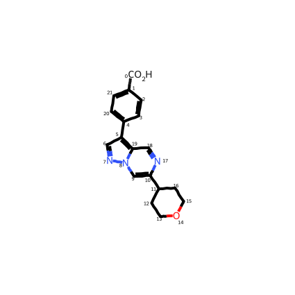 O=C(O)c1ccc(-c2cnn3cc(C4CCOCC4)ncc23)cc1